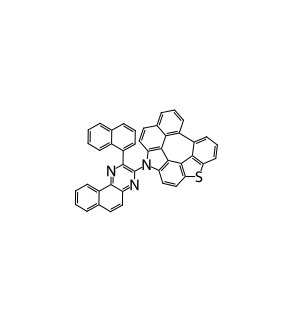 c1ccc2c(-c3nc4c(ccc5ccccc54)nc3-n3c4ccc5cccc6c5c4c4c5c(ccc43)sc3cccc-6c35)cccc2c1